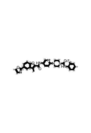 Cc1c(C(=O)Nc2ccc(N3CCN(C(=O)Nc4ccccc4F)CC3)nc2)oc2ccc(-c3ncco3)cc12